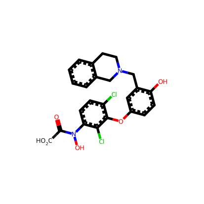 O=C(O)C(=O)N(O)c1ccc(Cl)c(Oc2ccc(O)c(CN3CCc4ccccc4C3)c2)c1Cl